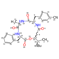 CCCC[C@H](C)[C@@H]1CC(=O)N[C@H](Cc2ccc(C#N)cc2)C(=O)N[C@@H](C)C(=O)N[C@H](Cc2ccccc2)C(=O)O1